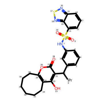 CC(C)C(c1cccc(NS(=O)(=O)c2cccc3nsnc23)c1)c1c(O)c2c(oc1=O)CCCCCC2